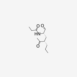 CCC[C@@H](C[C@@H](C=O)NC(=O)CC)C(C)=O